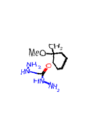 COC1(C)CCCCC1.NNC(=O)NN